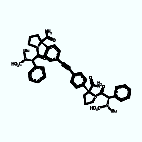 CC(C)(C)N(C(=O)O)[C@@H](C(=O)N1CCC[C@@]1(C(N)=O)c1ccc(C#Cc2ccc([C@]3(C(N)=O)CCCN3C(=O)[C@@H](c3ccccc3)N(C(=O)O)C(C)(C)C)cc2)cc1)c1ccccc1